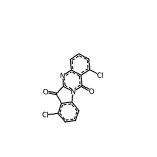 O=C1c2c(Cl)cccc2-n2c1nc1cccc(Cl)c1c2=O